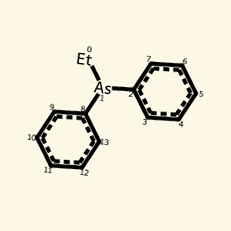 CC[As](c1ccccc1)c1ccccc1